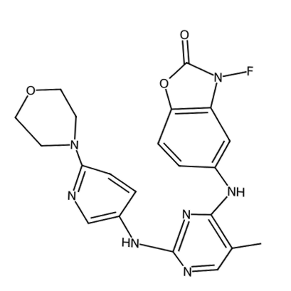 Cc1cnc(Nc2ccc(N3CCOCC3)nc2)nc1Nc1ccc2oc(=O)n(F)c2c1